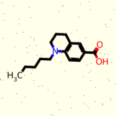 CCCCCN1CCCc2cc(C(=O)O)ccc21